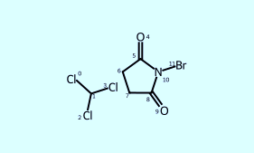 ClC(Cl)Cl.O=C1CCC(=O)N1Br